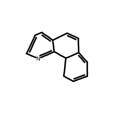 C1=CCC2C(=C1)C=Cc1cccnc12